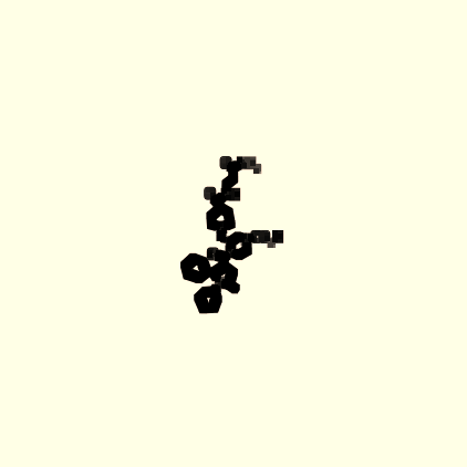 Cc1cc(C(=O)N2CCN(C(=O)O)C[C@H]2CN2CCC(C(=O)NCCC(N)=O)CC2)c(-c2ccccc2)n1-c1ccccc1